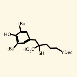 CCCCCCCCCCCCCC(S)(Cc1cc(C(C)(C)C)c(O)c(C(C)(C)C)c1)C(=O)O